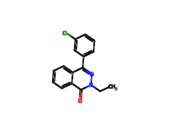 CCn1nc(-c2cccc(Cl)c2)c2ccccc2c1=O